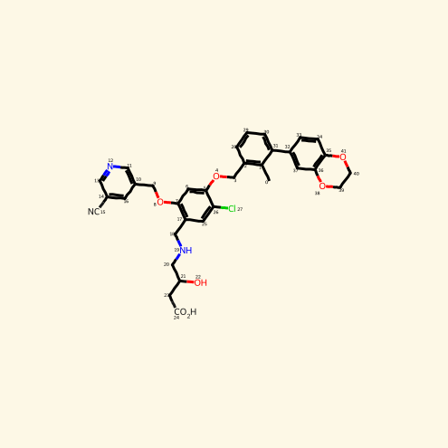 Cc1c(COc2cc(OCc3cncc(C#N)c3)c(CNCC(O)CC(=O)O)cc2Cl)cccc1-c1ccc2c(c1)OCCO2